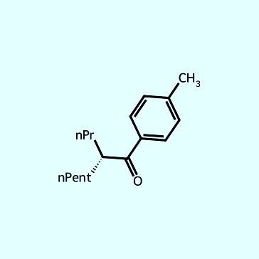 CCCCC[C@H](CCC)C(=O)c1ccc(C)cc1